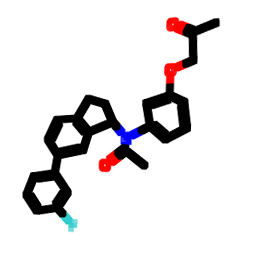 CC(=O)COc1cccc(N(C(C)=O)C2CCc3ccc(-c4cccc(F)c4)cc32)c1